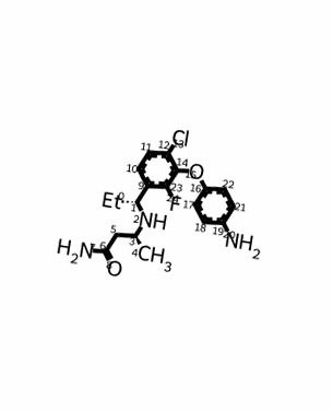 CC[C@@H](N[C@@H](C)CC(N)=O)c1ccc(Cl)c(Oc2ccc(N)cc2)c1F